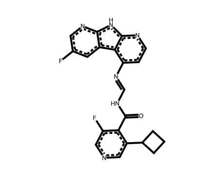 O=C(NC=Nc1ccnc2[nH]c3ncc(F)cc3c12)c1c(F)cncc1C1CCC1